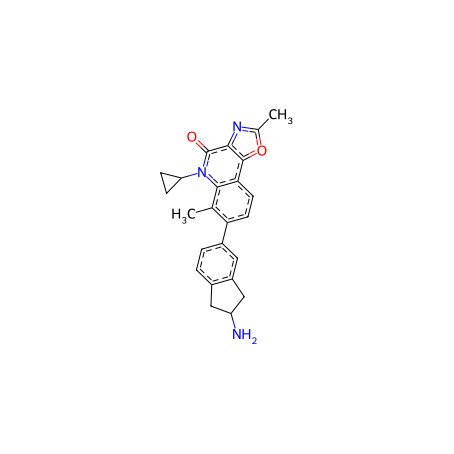 Cc1nc2c(=O)n(C3CC3)c3c(C)c(-c4ccc5c(c4)CC(N)C5)ccc3c2o1